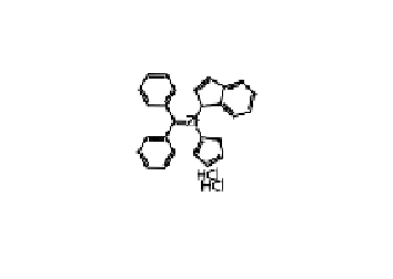 C1=CC[C]([Zr](=[C](c2ccccc2)c2ccccc2)[CH]2C=Cc3ccccc32)=C1.Cl.Cl